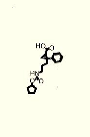 O=C(NCCCC1(c2ccccc2)CC1C(=O)O)OC1CCCC1